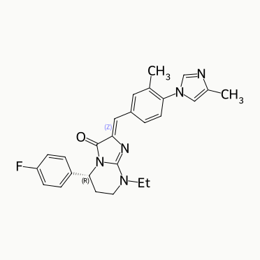 CCN1CC[C@H](c2ccc(F)cc2)N2C(=O)/C(=C/c3ccc(-n4cnc(C)c4)c(C)c3)N=C12